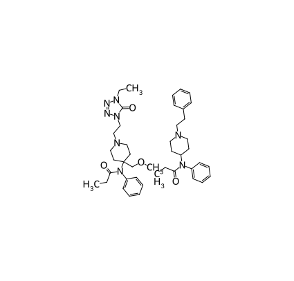 CCC(=O)N(c1ccccc1)C1(COC)CCN(CCn2nnn(CC)c2=O)CC1.CCC(=O)N(c1ccccc1)C1CCN(CCc2ccccc2)CC1